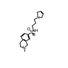 CN1CCc2ccc(S(=O)(=O)NCCCN3CC=CC3)cc2C1